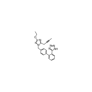 CC#CCc1nc(OCC)nn1Cc1ccc(-c2ccccc2-c2nnn[nH]2)cc1